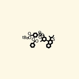 Cc1cc(-c2c3ccccc3cc3sc(C)c(C)c23)cc(C)c1OS(=O)(=O)c1ccc(C(=O)OC(C)(C)C)c(OC(=O)c2ccccc2)c1